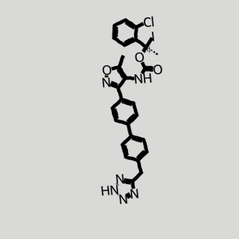 Cc1onc(-c2ccc(-c3ccc(Cc4nn[nH]n4)cc3)cc2)c1NC(=O)O[C@](C)(I)c1ccccc1Cl